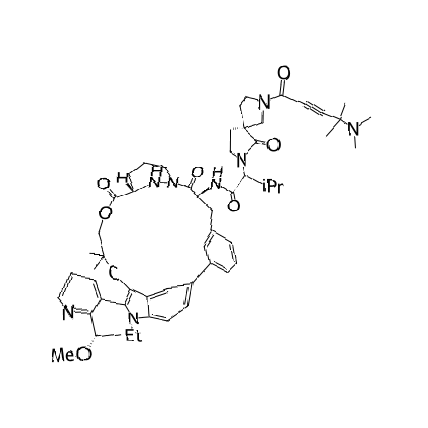 CCn1c(-c2cccnc2[C@H](C)OC)c2c3cc(ccc31)-c1cccc(c1)C[C@H](NC(=O)C(C(C)C)N1CC[C@@]3(CCN(C(=O)C#CC(C)(C)N(C)C)C3)C1=O)C(=O)N1CCC[C@H](N1)C(=O)OCC(C)(C)C2